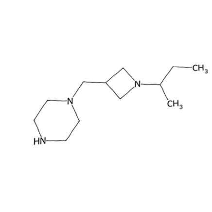 CCC(C)N1CC(CN2CCNCC2)C1